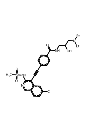 CCN(CC)CC(O)CNC(=O)c1ccc(C#Cc2c(NS(C)(=O)=O)ncc3ccc(Cl)cc23)cc1